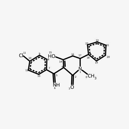 CN1C(=O)C(C(=N)c2ccc(Cl)cc2)=C(O)CC1c1ccccc1